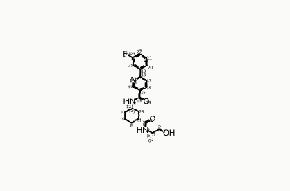 C[C@@H](CO)NC(=O)[C@@H]1CCC[C@H](NC(=O)c2ccc(-c3cccc(F)c3)nc2)C1